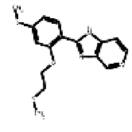 CSCCOc1cc(SC)ccc1-c1nc2cnccc2[nH]1